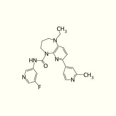 CCN1CCCN(C(=O)Nc2cncc(F)c2)c2nc(-c3ccnc(C)c3)ccc21